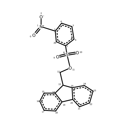 O=[N+]([O-])c1cccc(S(=O)(=O)OCC2c3ccccc3-c3ccccc32)c1